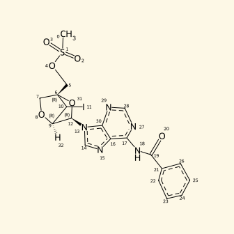 CS(=O)(=O)OC[C@]12CO[C@@H](C1I)[C@H](n1cnc3c(NC(=O)c4ccccc4)ncnc31)O2